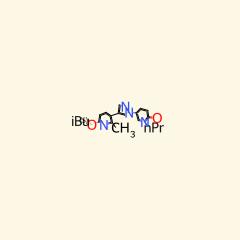 CCCn1cc(-n2cc(-c3ccc(O[C@@H](C)CC)nc3C)cn2)ccc1=O